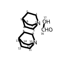 C1CN2CCC1CC2.C1CN2CCC1CC2.O=CO